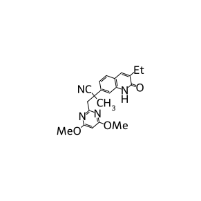 CCc1cc2ccc(C(C)(C#N)Cc3nc(OC)cc(OC)n3)cc2[nH]c1=O